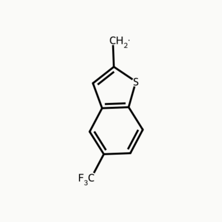 [CH2]c1cc2cc(C(F)(F)F)ccc2s1